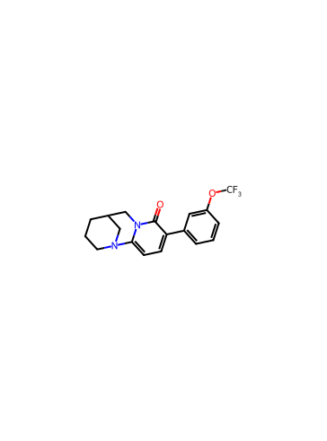 O=c1c(-c2cccc(OC(F)(F)F)c2)ccc2n1CC1CCCN2C1